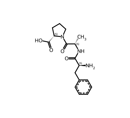 C[C@H](NC(=O)[C@@H](N)Cc1ccccc1)C(=O)N1CCC[C@H]1C(=O)O